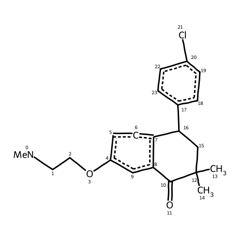 CNCCOc1ccc2c(c1)C(=O)C(C)(C)CC2c1ccc(Cl)cc1